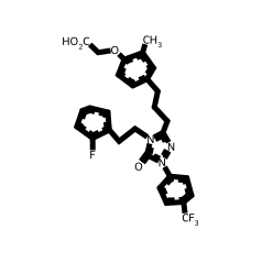 Cc1cc(CCCc2nn(-c3ccc(C(F)(F)F)cc3)c(=O)n2CCc2ccccc2F)ccc1OCC(=O)O